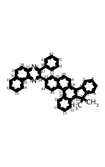 CC1(C)c2ccccc2-c2c1c1ccccc1c1c2ccc2cc(-c3nc4c(ccc5ccccc54)nc3-c3ccccc3)ccc21